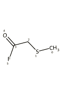 CSCC(=O)F